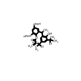 C=CC(=O)Oc1c(CCCCC)cc(CCCCC)cc1C(C)c1cc(C(C)(C)CC)cc(C(C)(C)CC)c1O